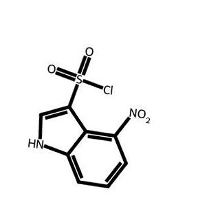 O=[N+]([O-])c1cccc2[nH]cc(S(=O)(=O)Cl)c12